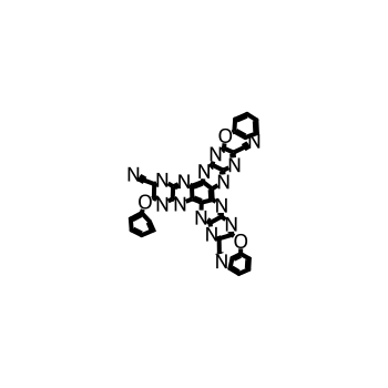 N#Cc1nc2nc3c4nc5nc(Oc6ccccc6)c(C#N)nc5nc4c4nc5nc(Oc6ccccc6)c(C#N)nc5nc4c3nc2nc1Oc1ccccc1